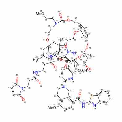 CCC1(Cn2ncc(-c3ccc(N4CCc5c(OC)ccc(C(=O)Nc6nc7ccccc7s6)c5C4)nc3C(=O)O)c2C)CC23CC(C)CC(C1)(C2)OC(=O)[C@@H]1C[C@H](O)C[C@H](Oc2ccc(c(OCCOCCNC(=O)CCNC(=O)CCN4C(=O)C=CC4=O)c2)COC(=O)N(CCOC)CCO3)O1